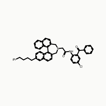 CC(C)CCCCc1ccc2c3c(ccc2c1)CN(CC(=O)Nc1ccc(Cl)cc1C(=O)c1ccccc1)Cc1ccc2ccccc2c1-3